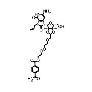 C=CCn1c(=O)n([C@@H]2O[C@H](CO)[C@H]3OC(COCCOOCCOC(=O)c4ccc(C(=O)NC)cc4)O[C@H]32)c2cc(N)[nH]c(=O)c21